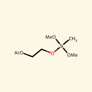 CO[Si](C)(OC)OCCOC(C)=O